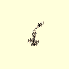 O=C(Cc1c(F)cc(OCCC2CC(C3CCN(c4ncc(Cl)cn4)CC3)C2)cc1F)N1CC(CNCC(O)C(O)C(O)C(O)CO)C1